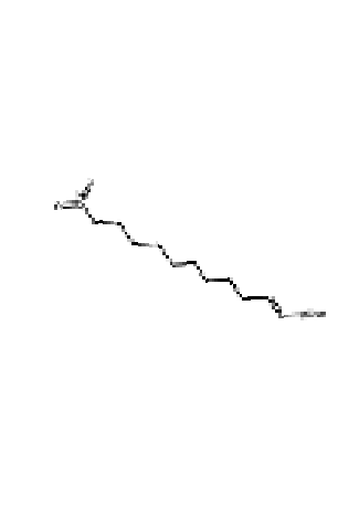 CCCCCCCCCC=CCCCCCCCCC[SH](=O)=O